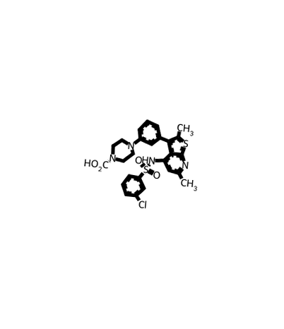 Cc1cc(NS(=O)(=O)c2cccc(Cl)c2)c2c(-c3cccc(N4CCN(C(=O)O)CC4)c3)c(C)sc2n1